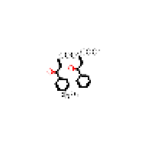 O=C([O-])C=CC(=O)c1ccccc1.O=C([O-])C=CC(=O)c1ccccc1.[Pb+2]